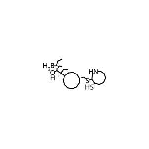 BS(C)(CC)C(O)[C@@](C)(CC)[C@@H]1CCCCCC[C@H](CS[C@H]2CNCCCCC[C@H]2S)CCC1